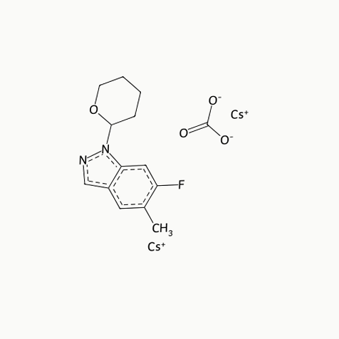 Cc1cc2cnn(C3CCCCO3)c2cc1F.O=C([O-])[O-].[Cs+].[Cs+]